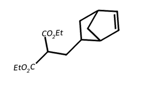 CCOC(=O)C(CC1CC2C=CC1C2)C(=O)OCC